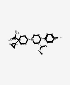 COC(=O)[C@@H]1CN([C@H]2CC[C@](C(=O)O)(C3CC3)CC2)CC[C@H]1c1ccc(F)cc1